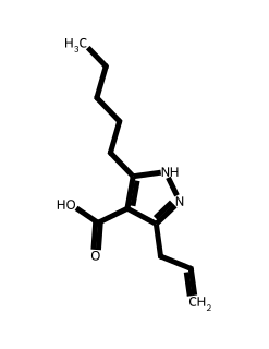 C=CCc1n[nH]c(CCCCC)c1C(=O)O